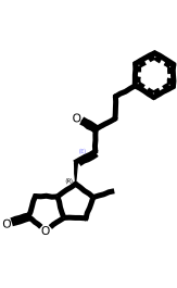 CC1CC2OC(=O)CC2[C@H]1/C=C/C(=O)CCc1ccccc1